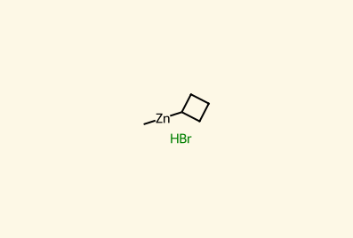 Br.[CH3][Zn][CH]1CCC1